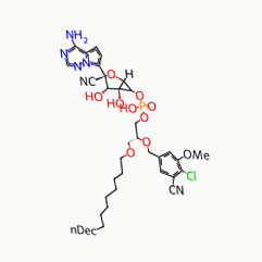 CCCCCCCCCCCCCCCCCCOC[C@H](COP(=O)(O)OC1[C@H]2O[C@@](C#N)(c3ccc4c(N)ncnn34)[C@H](O)[C@@]12O)OCc1cc(C#N)c(Cl)c(OC)c1